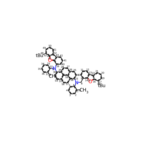 Cc1ccccc1N(Cc1cccc2c1oc1c(C(C)(C)C)cccc12)c1ccc2ccc3c(N(c4ccccc4C)c4cccc5c4oc4c(C(C)(C)C)cccc45)ccc4ccc1c2c43